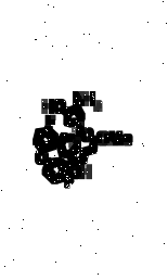 COCCCCC(O)(c1cc(Oc2ccc(F)cc2)ccc1F)C1CCCN(C(=O)N2CC(N)C(O)C2)C1